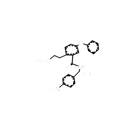 C[C@@H](NC(=O)c1cc(Oc2ccccc2)ccc1CCC(=O)O)c1ccc([N+](=O)[O-])cc1